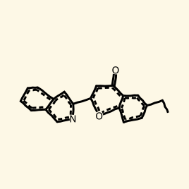 CCc1ccc2oc(-c3cc4ccccc4cn3)cc(=O)c2c1